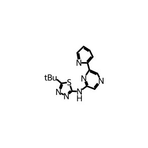 CC(C)(C)c1nnc(Nc2cncc(-c3ccccn3)n2)s1